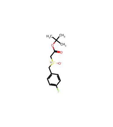 CC(C)(C)OC(=O)C[S@+]([O-])Cc1ccc(F)cc1